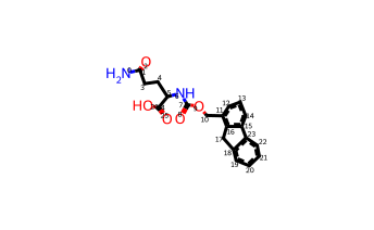 NC(=O)CCC(NC(=O)OCc1cccc2c1Cc1ccccc1-2)C(=O)O